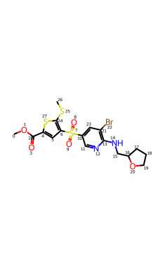 COC(=O)c1cc(S(=O)(=O)c2cnc(NCC3CCCO3)c(Br)c2)c(SC)s1